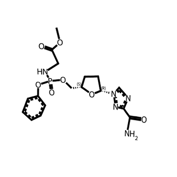 COC(=O)CNP(=O)(OC[C@@H]1CC[C@H](n2cnc(C(N)=O)n2)O1)Oc1ccccc1